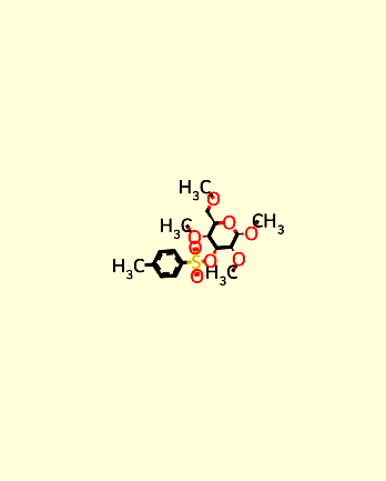 COC[C@H]1O[C@H](OC)[C@H](OC)[C@@H](OS(=O)(=O)c2ccc(C)cc2)[C@@H]1OC